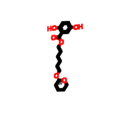 O=C(OCCCCCCO[C@H]1CCCCO1)c1cc(O)ccc1O